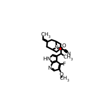 CC=C1CC2CC(C#N)CC(C1)N2C(=O)C(C)c1c[nH]c2ncc(OC)c(F)c12